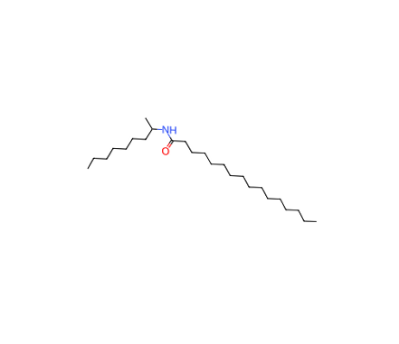 CCCCCCCCCCCCCCCC(=O)NC(C)CCCCCCC